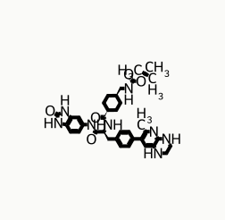 Cc1nc2c(cc1-c1ccc(C[C@H](NC(=O)[C@H]3CC[C@H](CNC(=O)OC(C)(C)C)CC3)C(=O)Nc3ccc4[nH]c(=O)[nH]c4c3)cc1)NCCN2